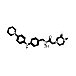 CN1CCN(CC(=O)N(O)Cc2ccc(Nc3ccc(N4CCCCC4)cc3)cc2)CC1=O